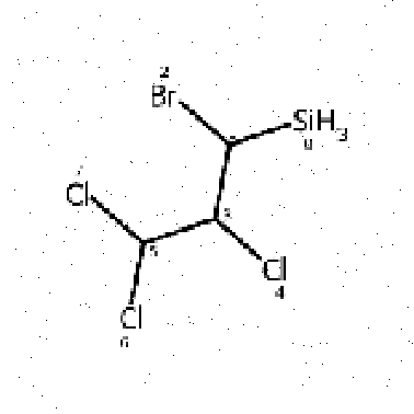 [SiH3]C(Br)C(Cl)C(Cl)Cl